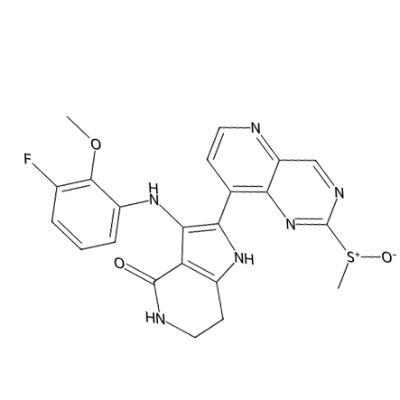 COc1c(F)cccc1Nc1c(-c2ccnc3cnc([S+](C)[O-])nc23)[nH]c2c1C(=O)NCC2